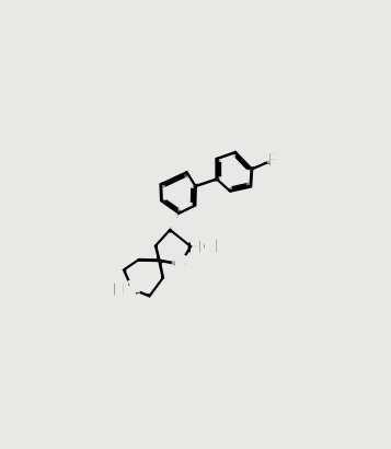 Cl.Fc1ccc(-c2cccc([C@@H]3COC4(CCNCC4)C3)c2)cc1